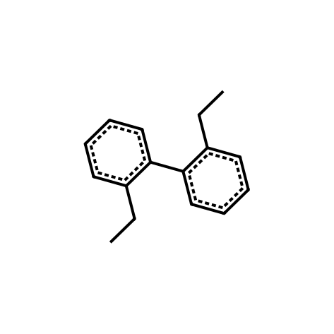 CCc1ccccc1-c1ccccc1CC